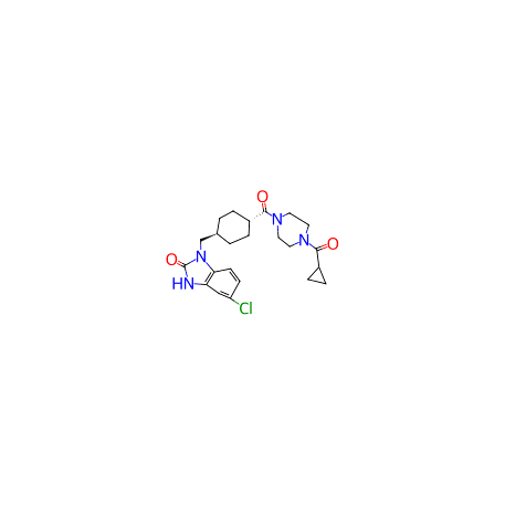 O=C(C1CC1)N1CCN(C(=O)[C@H]2CC[C@H](Cn3c(=O)[nH]c4cc(Cl)ccc43)CC2)CC1